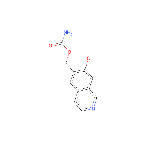 NC(=O)OCc1cc2ccncc2cc1O